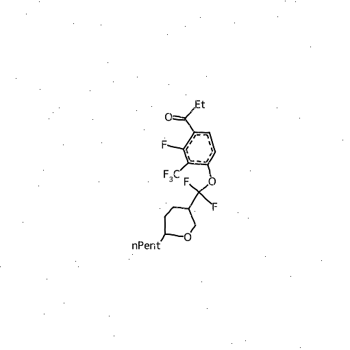 CCCCCC1CCC(C(F)(F)Oc2ccc(C(=O)CC)c(F)c2C(F)(F)F)CO1